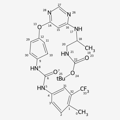 Cc1ccc(NC(=O)Nc2ccc(Oc3cc(NC(C)CNC(=O)OC(C)(C)C)ncn3)cc2)cc1C(F)(F)F